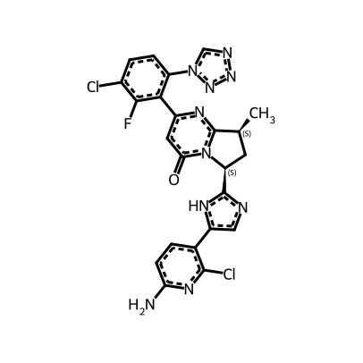 C[C@H]1C[C@@H](c2ncc(-c3ccc(N)nc3Cl)[nH]2)n2c1nc(-c1c(-n3cnnn3)ccc(Cl)c1F)cc2=O